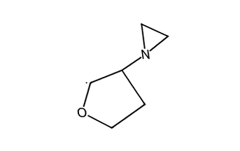 [CH]1OCCC1N1CC1